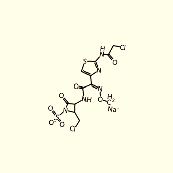 CON=C(C(=O)NC1C(=O)N(S(=O)(=O)[O-])C1CCl)c1csc(NC(=O)CCl)n1.[Na+]